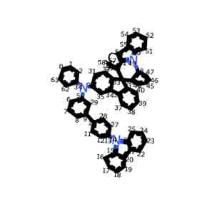 c1ccc(N(c2cccc(-c3ccc(-n4c5ccccc5c5ccccc54)cc3)c2)c2ccc3c(c2)-c2ccccc2C32c3ccccc3-n3c4ccccc4c4cccc2c43)cc1